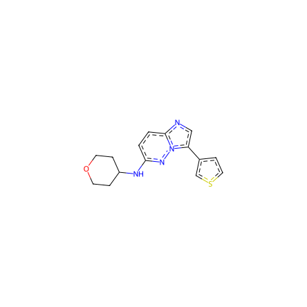 c1cc(-c2cnc3ccc(NC4CCOCC4)nn23)cs1